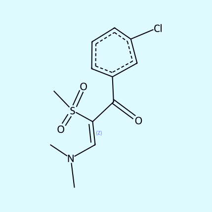 CN(C)/C=C(/C(=O)c1cccc(Cl)c1)S(C)(=O)=O